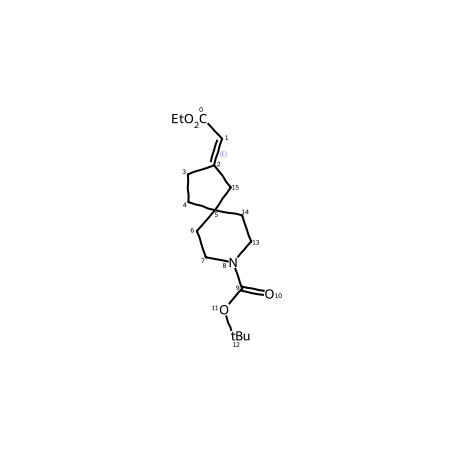 CCOC(=O)/C=C1\CCC2(CCN(C(=O)OC(C)(C)C)CC2)C1